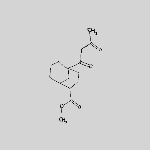 COC(=O)C1CCC2(C(=O)CC(C)=O)CCCC1C2